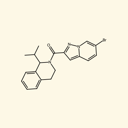 CC(C)C1c2ccccc2CCN1C(=O)c1cc2ccc(Br)cn2n1